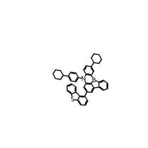 c1ccc2c(c1)B1c3cc(C4CCCCC4)ccc3N(c3ccc(C4CCCCC4)cc3)c3cc(-c4cccc5sc6ccccc6c45)cc-2c31